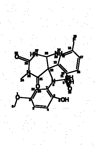 COc1ccc(O)c(N(C(=O)O)C2(c3cc(F)ccc3O)C(=O)N(C)C(=O)NC2N)c1